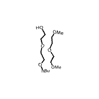 CCCCOCCOCCO.COCCOCCOC